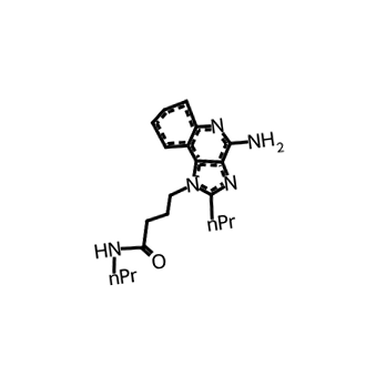 CCCNC(=O)CCCn1c(CCC)nc2c(N)nc3ccccc3c21